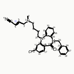 CN(C/C=C/C#N)CCCCN1c2cc(Cl)ccc2C(=O)N(Cc2ccccc2)c2ccccc21